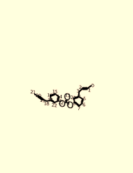 CC#CCc1cccc(OC(=O)Oc2cccc(CC#CC)c2)c1